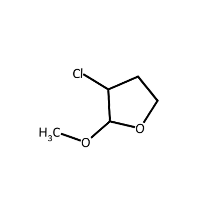 COC1OCCC1Cl